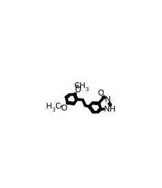 COc1ccc(OC)c(CCc2ccc3[nH]cnc(=O)c3c2)c1